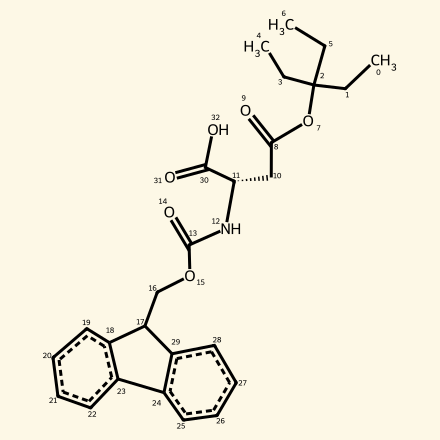 CCC(CC)(CC)OC(=O)C[C@H](NC(=O)OCC1c2ccccc2-c2ccccc21)C(=O)O